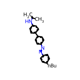 C=C(C)Nc1ccc(-c2ccc(N=Nc3ccc(CCCC)cc3)cc2)cc1